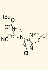 CC(C)(C)OC(=O)N1CCN(c2nc(Cl)nc3cc(Cl)cnc23)C[C@@H]1CC#N